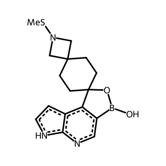 CSN1CC2(CCC3(CC2)OB(O)c2cnc4[nH]ccc4c23)C1